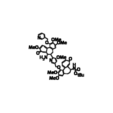 COc1cc2c(c(OCc3ccc(C4Cc5cc(OC)c(OC)c(OCc6cccnc6)c5-c5ccc(OC)c(=O)cc5C4N)nc3)c1OC)-c1ccc(OC)c(=O)cc1C(NC(=O)OC(C)(C)C)CC2